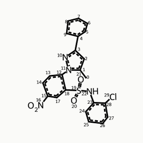 Cc1cc(-c2ccccc2)nn1-c1ccc([N+](=O)[O-])cc1S(=O)(=O)Nc1ccccc1Cl